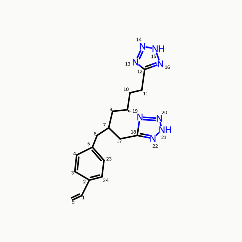 C=Cc1ccc(CC(CCCCc2nn[nH]n2)Cc2nn[nH]n2)cc1